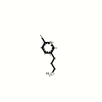 [CH2]CCCc1ccc(I)nc1